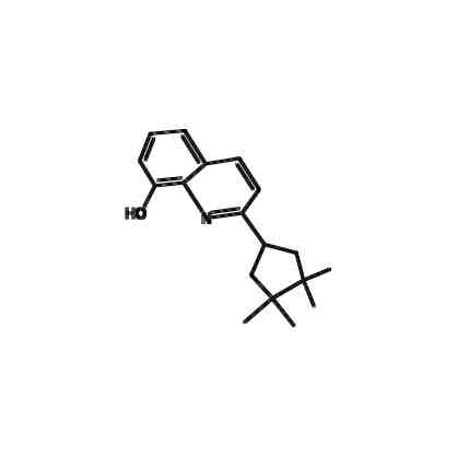 CC1(C)CC(c2ccc3cccc(O)c3n2)CC1(C)C